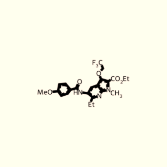 CCOC(=O)c1c(OCC(F)(F)F)c2cc(NC(=O)c3ccc(OC)cc3)c(CC)nc2n1C